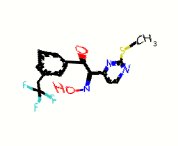 CSc1nccc(C(=NO)C(=O)c2cccc(C(F)(F)F)c2)n1